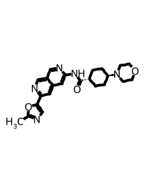 Cc1ncc(-c2cc3cc(NC(=O)[C@H]4CC[C@H](N5CCOCC5)CC4)ncc3cn2)o1